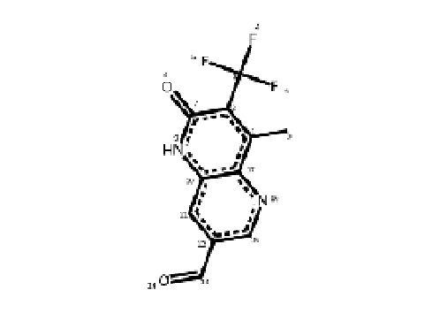 Cc1c(C(F)(F)F)c(=O)[nH]c2cc(C=O)cnc12